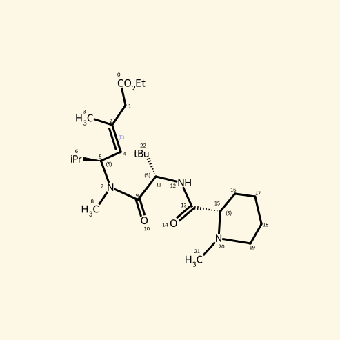 CCOC(=O)C/C(C)=C/[C@H](C(C)C)N(C)C(=O)[C@@H](NC(=O)[C@@H]1CCCCN1C)C(C)(C)C